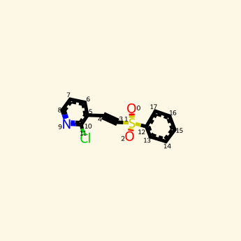 O=S(=O)(C#Cc1cccnc1Cl)c1ccccc1